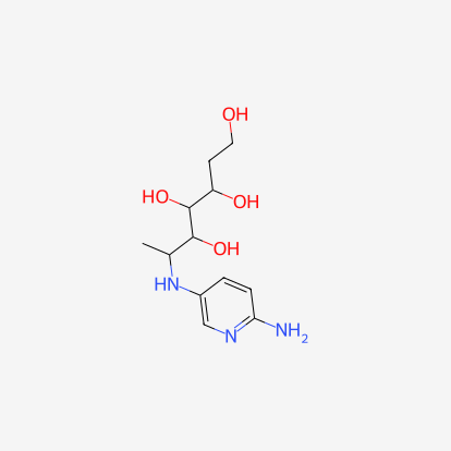 CC(Nc1ccc(N)nc1)C(O)C(O)C(O)CCO